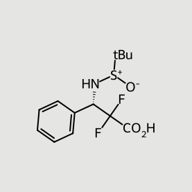 CC(C)(C)[S+]([O-])N[C@@H](c1ccccc1)C(F)(F)C(=O)O